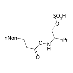 CCCCCCCCCCCC(=O)ONC(COS(=O)(=O)O)C(C)C